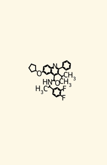 CC(C)c1c(-c2ccccc2)nc2ccc(OC3CCCC3)cc2c1C(=O)NC(C)c1ccc(F)c(F)c1